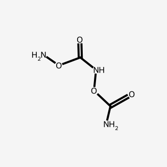 NOC(=O)NOC(N)=O